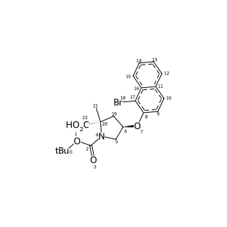 CC(C)(C)OC(=O)N1C[C@H](Oc2ccc3ccccc3c2Br)C[C@@]1(C)C(=O)O